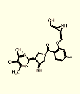 CC1=N/C(=C2\CN(C(=O)c3ccc(F)cc3O/C=C3/N/C3=C\O)CC2=N)NC(C)=C1Cl